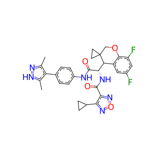 Cc1n[nH]c(C)c1-c1ccc(NC(=O)[C@@H](NC(=O)c2nonc2C2CC2)C2c3cc(F)cc(F)c3OCC23CC3)cc1